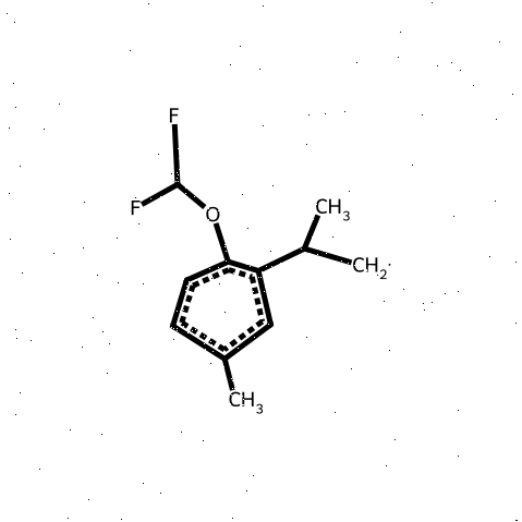 [CH2]C(C)c1cc(C)ccc1OC(F)F